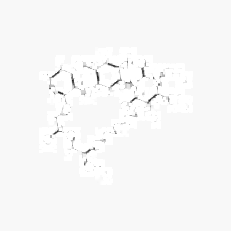 C=C=C=C=C=C(C)COC(=O)COc1ncccc1Oc1cc(-n2c(=O)cc(C(F)(F)F)n(C)c2=O)c(F)cc1Cl